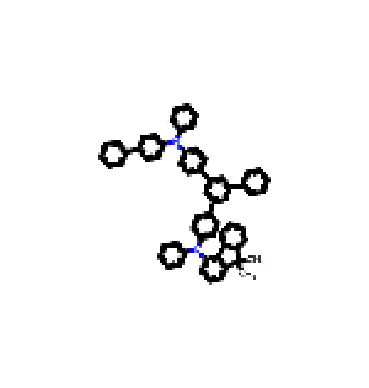 CC1(C)c2ccccc2-c2c(N(c3ccccc3)c3ccc(-c4cc(-c5ccccc5)cc(-c5ccc(N(c6ccccc6)c6ccc(-c7ccccc7)cc6)cc5)c4)cc3)cccc21